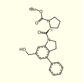 CC(C)(C)OC(=O)N1CCC[C@H]1C(=O)N1CCc2c(-c3ccccc3)cc(CO)cc21